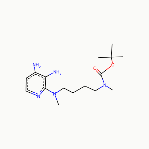 CN(CCCCN(C)c1nccc(N)c1N)C(=O)OC(C)(C)C